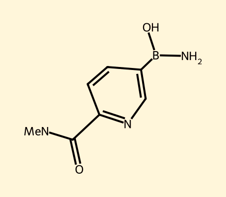 CNC(=O)c1ccc(B(N)O)cn1